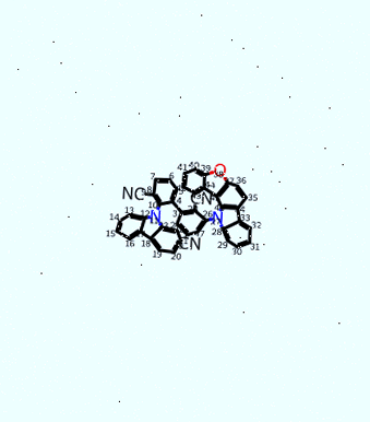 N#Cc1cc(-c2cccc(C#N)c2-n2c3ccccc3c3ccccc32)c(C#N)c(-n2c3ccccc3c3ccc4oc5ccccc5c4c32)c1